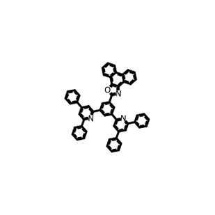 c1ccc(-c2cc(-c3ccccc3)nc(-c3cc(-c4cc(-c5ccccc5)cc(-c5ccccc5)n4)cc(-c4nc5c6ccccc6c6ccccc6c5o4)c3)c2)cc1